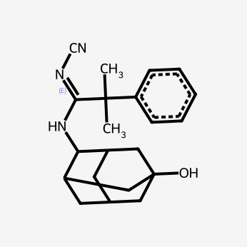 CC(C)(/C(=N\C#N)NC1C2CC3CC1CC(O)(C3)C2)c1ccccc1